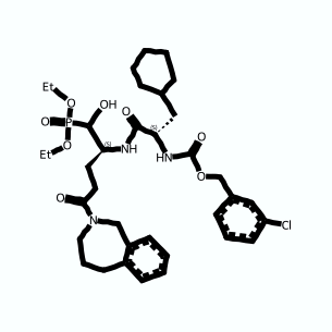 CCOP(=O)(OCC)C(O)[C@H](CCC(=O)N1CCCc2ccccc2C1)NC(=O)[C@H](CC1CCCCC1)NC(=O)OCc1cccc(Cl)c1